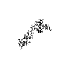 COC(=O)N[C@H](C(=O)N1CCCC1c1ncc(-c2ccc(-c3ccc(-c4cnc([C@@H]5CCCN5C(=O)[C@H](Cc5c[nH]nn5)OC(N)=O)[nH]4)cc3)cc2)[nH]1)[C@@H](C)OC